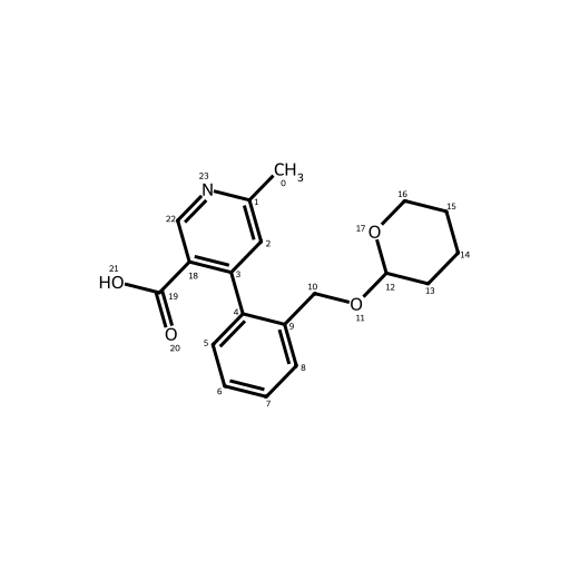 Cc1cc(-c2ccccc2COC2CCCCO2)c(C(=O)O)cn1